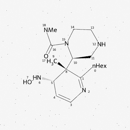 CCCCCCC1=NC=C[C@H](NO)[C@]1(C)[C@@H]1CNCCN1C(=O)NC